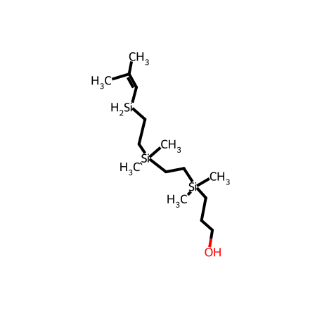 CC(C)=C[SiH2]CC[Si](C)(C)CC[Si](C)(C)CCCO